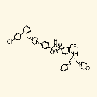 O=C(NS(=O)(=O)c1ccc(N[C@H](CCN2CCOCC2)CSc2ccccc2)c(C(F)(F)F)c1)c1ccc(N2CCN(Cc3ccccc3-c3ccc(Cl)cc3)CC2)cc1